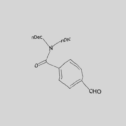 CCCCCCCCCCN(CCCCCCCCCC)C(=O)c1ccc(C=O)cc1